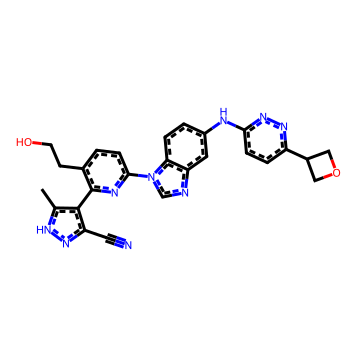 Cc1[nH]nc(C#N)c1-c1nc(-n2cnc3cc(Nc4ccc(C5COC5)nn4)ccc32)ccc1CCO